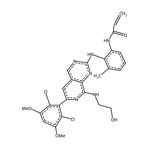 C=CC(=O)Nc1cccc(C)c1Nc1ncc2cc(-c3c(Cl)c(OC)cc(OC)c3Cl)nc(NCCO)c2n1